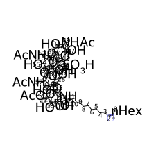 CCCCCC/C=C\CCCCCCCCCC(=O)NC1C(O)[C@H](O)C(COC(C)=O)O[C@H]1O[C@@H]1C(CO)O[C@@H](O[C@@H]2C(CO)O[C@@H](O[C@@H]3C(COS(=O)(=O)O)O[C@@H](O)C(NC(C)=O)C3O)C(NC(C)=O)C2O)C(NC(C)=O)C1O